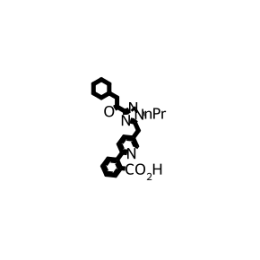 CCCn1nc(C(=O)CC2CCCCC2)nc1Cc1ccc(-c2ccccc2C(=O)O)nc1